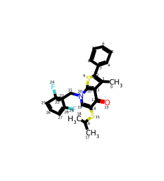 Cc1c(-c2ccccc2)sc2c1c(=O)c(SC(C)C)cn2Cc1c(F)cccc1F